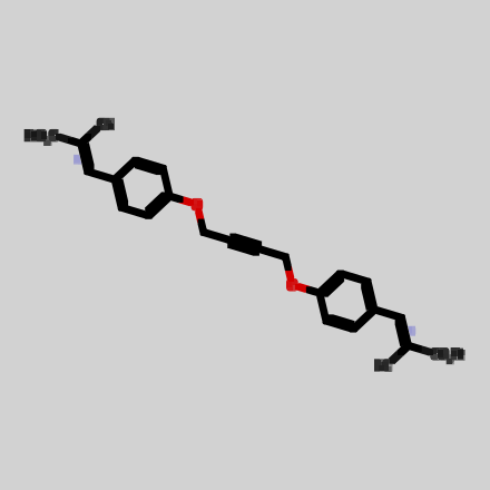 CCOC(=O)/C(C#N)=C/c1ccc(OCC#CCOc2ccc(/C=C(\C#N)C(=O)OCC)cc2)cc1